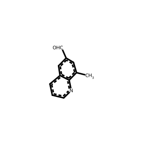 Cc1cc(C=O)cc2cccnc12